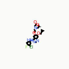 C[C@@H]1CN(CCOc2cc3c(Nc4ccc(F)c(Cl)c4)ncnc3cc2OCC2CC2)CC(=O)O1